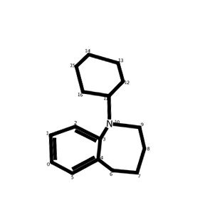 c1ccc2c(c1)CCCCN2C1CCCCC1